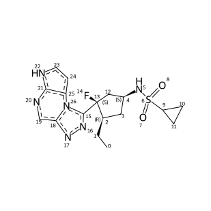 CC[C@@H]1C[C@H](NS(=O)(=O)C2CC2)C[C@@]1(F)c1nnc2cnc3[nH]ccc3n12